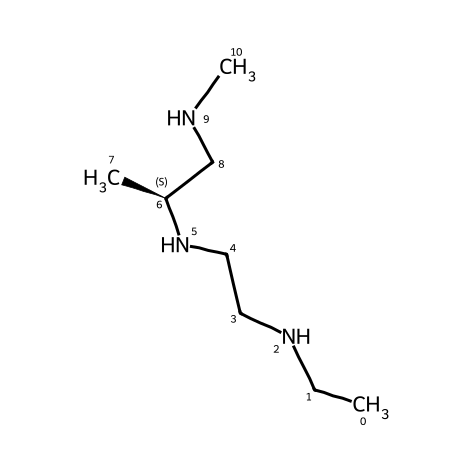 CCNCCN[C@@H](C)CNC